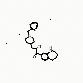 O=C(c1ccc2c(c1)NCCCC2)C(Cl)CC1CCN(Cc2ccccc2)CC1